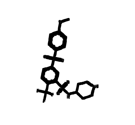 COc1ccc(S(=O)(=O)c2ccc(C(F)(F)F)c(S(=O)(=O)NC3CCNCC3)c2)cc1